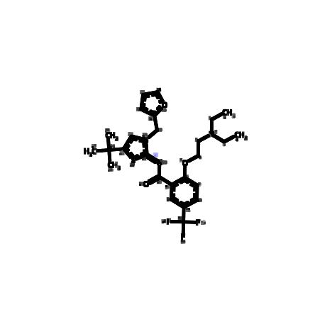 CCN(CC)CCOc1ccc(C(F)(F)F)cc1C(=O)/N=c1\sc(C(C)(C)C)cn1Cc1ccco1